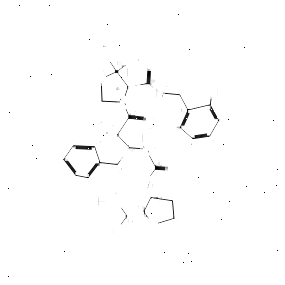 Cc1ccccc1CNC(=O)[C@H]1N(C(=O)[C@@H](O)[C@H](Cc2ccccc2)NC(=O)O[C@@H]2CCS[C@@H]2C(C)C)CSC1(C)C